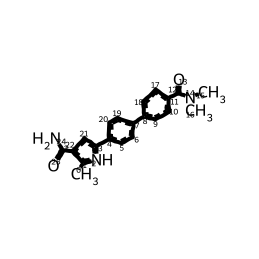 Cc1[nH]c(-c2ccc(-c3ccc(C(=O)N(C)C)cc3)cc2)cc1C(N)=O